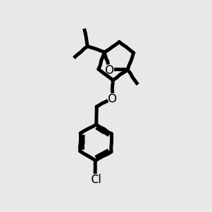 CC(C)C12CCC(C)(O1)C(OCc1ccc(Cl)cc1)C2